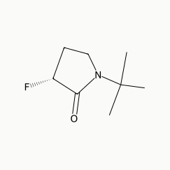 CC(C)(C)N1CC[C@@H](F)C1=O